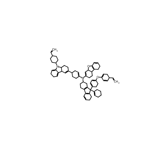 C=CC1C=CC(OC2=CC=C(C3(C4=CCCCC4)C4=C(C=CCC4)C4=C3CC(N(C3=CCC(C5=CC6C7=CCCC=C7N(C7CCC(C=C)CC7)C6CC5)CC3)C3=CC5OC6=C(CCC=C6)C5CC3)CC4)CC2)=CC1